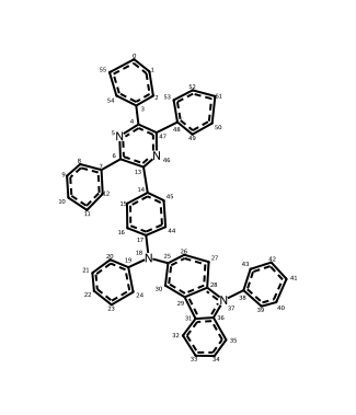 c1ccc(-c2nc(-c3ccccc3)c(-c3ccc(N(c4ccccc4)c4ccc5c(c4)c4ccccc4n5-c4ccccc4)cc3)nc2-c2ccccc2)cc1